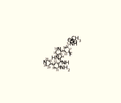 CS(=O)(=O)NCc1cc(F)cc(-c2nccc3[nH]c(C(=N)c4cc(-c5ccncc5)ccc4N)cc23)c1